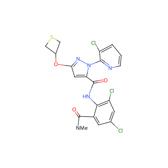 CNC(=O)c1cc(Cl)cc(Cl)c1NC(=O)c1cc(OC2CSC2)nn1-c1ncccc1Cl